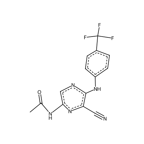 CC(=O)Nc1cnc(Nc2ccc(C(F)(F)F)cc2)c(C#N)n1